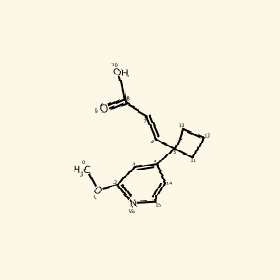 COc1cc(C2(/C=C/C(=O)O)CCC2)ccn1